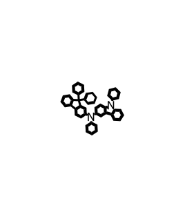 C1=CC(C2(c3ccccc3)c3ccccc3-c3ccc(N(c4ccccc4)c4ccc5c(c4)c4ccccc4n5-c4ccccc4)cc32)=CCC1